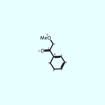 COCC(=O)C1=CC=CCC1